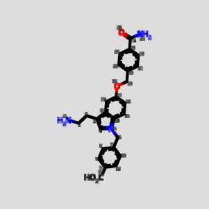 NCCc1cn(Cc2ccc(C(=O)O)cc2)c2ccc(OCc3ccc(C(N)=O)cc3)cc12